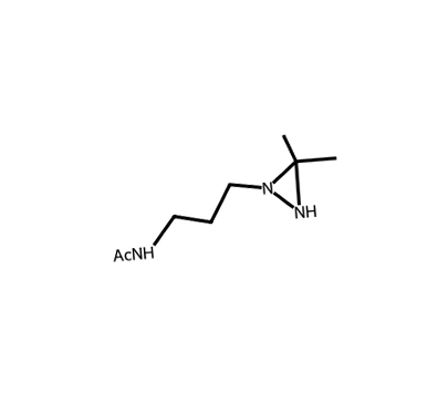 CC(=O)NCCCN1NC1(C)C